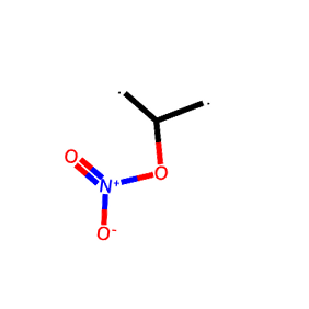 [CH2]C([CH2])O[N+](=O)[O-]